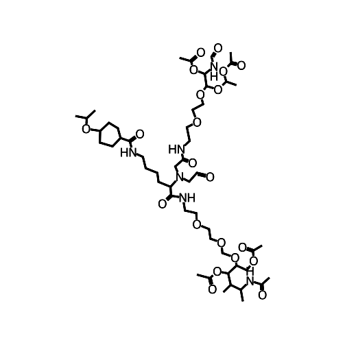 CC(=O)NC(C)C(C)C(OC(C)=O)C(COC(C)=O)OCOCCOCCNC(=O)C(CCCCNC(=O)C1CCC(OC(C)C)CC1)N(CC=O)CC(=O)NCCOCCOC(OC(C)OC(C)=O)C(NC=O)OC(C)=O